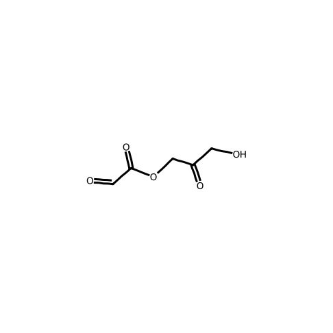 O=CC(=O)OCC(=O)CO